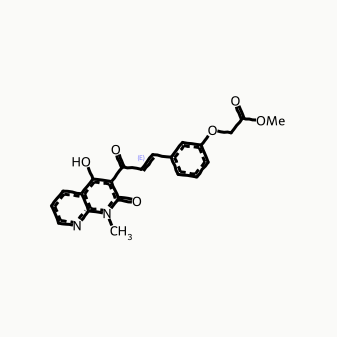 COC(=O)COc1cccc(/C=C/C(=O)c2c(O)c3cccnc3n(C)c2=O)c1